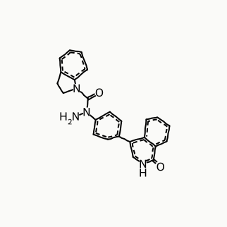 NN(C(=O)N1CCc2ccccc21)c1ccc(-c2c[nH]c(=O)c3ccccc23)cc1